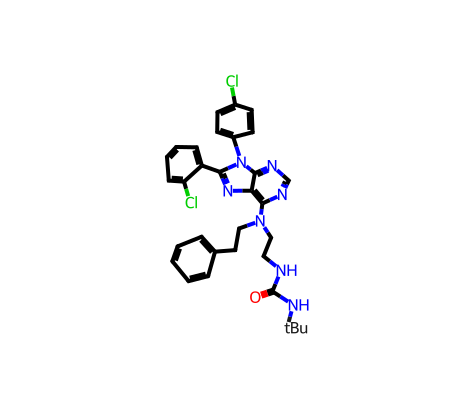 CC(C)(C)NC(=O)NCCN(CCc1ccccc1)c1ncnc2c1nc(-c1ccccc1Cl)n2-c1ccc(Cl)cc1